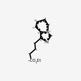 CCOC(=O)CCCc1ncn2ccccc12